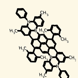 Cc1ccc2c(c1)N(c1ccccc1)c1cc(C)cc3c1B2c1cc2c(-c4c(C)cccc4C)cc4c5c(cc6c(-c7c(C)cccc7C)cc-3c1c6c25)B1c2ccc(C)cc2N(c2ccccc2)c2cc(C)cc-4c21